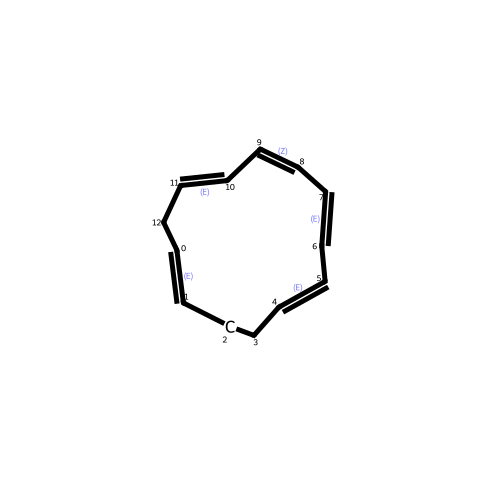 [C]1=C/CC/C=C/C=C/C=C\C=C\C/1